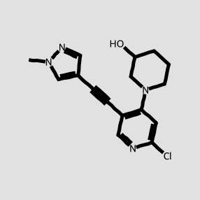 Cn1cc(C#Cc2cnc(Cl)cc2N2CCCC(O)C2)cn1